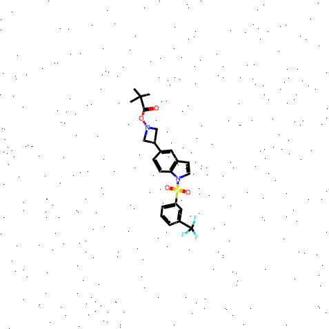 CC(C)(C)C(=O)ON1CC(c2ccc3c(ccn3S(=O)(=O)c3cccc(C(F)(F)F)c3)c2)C1